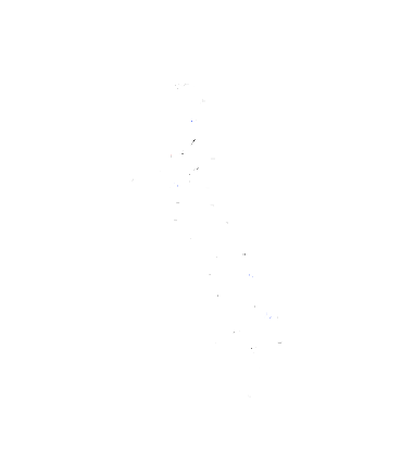 COC(=O)NC[C@@H]1OC(=O)N2c3ccc(-c4ccc(C5=NOC(CO)(CO)C5)nc4)cc3C[C@@H]12